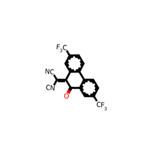 [C-]#[N+]/C(C#N)=C1\C(=O)c2cc(C(F)(F)F)ccc2-c2ccc(C(F)(F)F)cc21